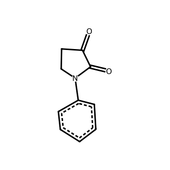 O=C1CCN(c2ccccc2)C1=O